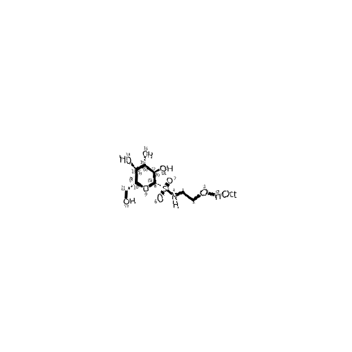 CCCCCCCCOCCNS(=O)(=O)[C@@H]1O[C@H](CO)[C@@H](O)[C@H](O)[C@H]1O